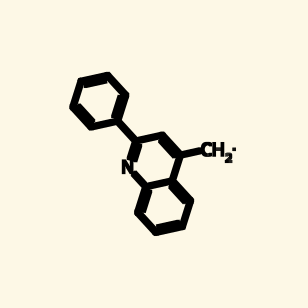 [CH2]c1cc(-c2ccccc2)nc2ccccc12